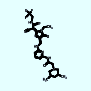 CCn1c(=C(C#N)C(=O)NCC(F)(F)F)sc(=CNc2cccc(NC(=O)CN3CC(C)CC(C)C3)n2)c1=O